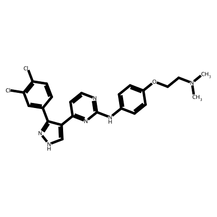 CN(C)CCOc1ccc(Nc2nccc(-c3c[nH]nc3-c3ccc(Cl)c(Cl)c3)n2)cc1